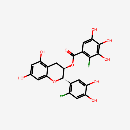 O=C(O[C@@H]1Cc2c(O)cc(O)cc2O[C@H]1c1cc(O)c(O)cc1F)c1cc(O)c(O)c(O)c1F